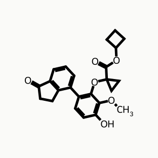 COc1c(O)ccc(-c2cccc3c2CCC3=O)c1OC1(C(=O)OC2CCC2)CC1